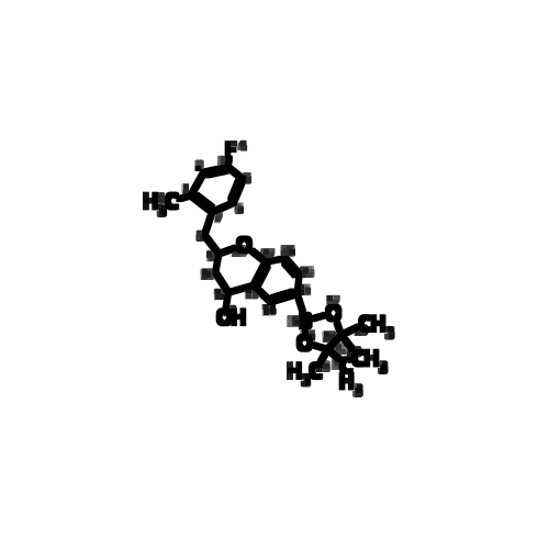 Cc1cc(F)ccc1CC1CC(O)c2cc(B3OC(C)(C)C(C)(C)O3)ccc2O1